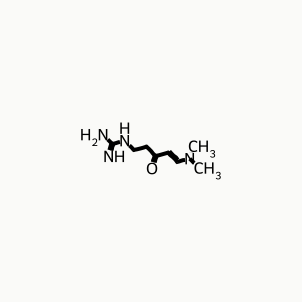 CN(C)C=CC(=O)CCNC(=N)N